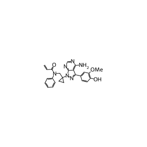 C=CC(=O)N(CC1(n2nc(-c3ccc(O)c(OC)c3)c3c(N)ncnc32)CC1)c1ccccc1